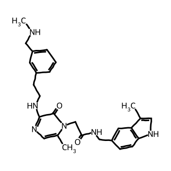 CNCc1cccc(CCNc2ncc(C)n(CC(=O)NCc3ccc4[nH]cc(C)c4c3)c2=O)c1